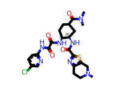 CN1CCc2nc(C(=O)N[C@@H]3CC(C(=O)N(C)C)CC[C@@H]3NC(=O)C(=O)Nc3ccc(Cl)cn3)sc2C1